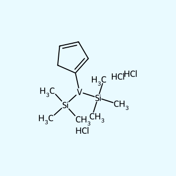 C[Si](C)(C)[V]([C]1=CC=CC1)[Si](C)(C)C.Cl.Cl.Cl